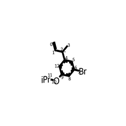 C=C[C](C)c1cc(Br)cc(OC(C)C)c1